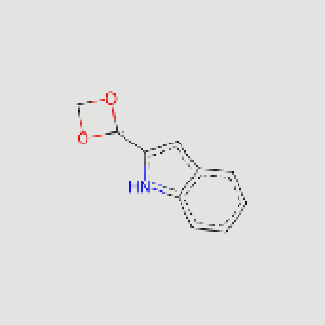 c1ccc2[nH]c([C]3OCO3)cc2c1